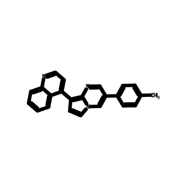 Cc1ccc(-c2cnc3c(-c4ccnc5ccccc45)ccn3c2)cc1